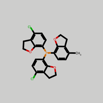 Cc1ccc(P(c2ccc(Cl)c3c2OCC3)c2ccc(Cl)c3c2OCC3)c2c1CCO2